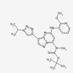 COc1ncccc1Nc1cc(N(C)C(=O)OC(C)(C)C)n2ncc(-c3cn(C(C)C)nn3)c2n1